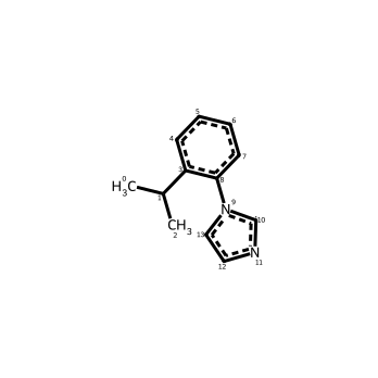 CC(C)c1ccccc1-n1[c]ncc1